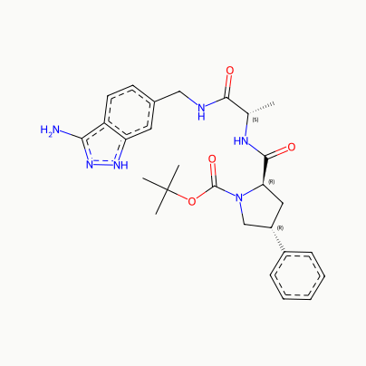 C[C@H](NC(=O)[C@H]1C[C@H](c2ccccc2)CN1C(=O)OC(C)(C)C)C(=O)NCc1ccc2c(N)n[nH]c2c1